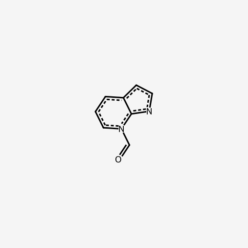 O=Cn1cccc2ccnc1-2